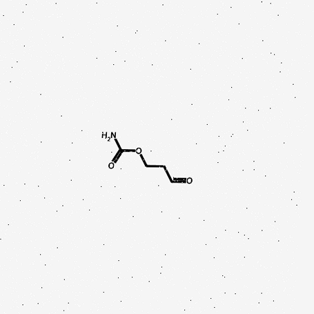 NC(=O)OCCC=O